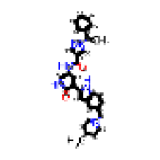 CC1CCN(Cc2ccc3[nH]c(-c4cc(NC(=O)c5cnn(C(C)c6ccccc6)c5)c[nH]c4=O)cc3c2)CC1